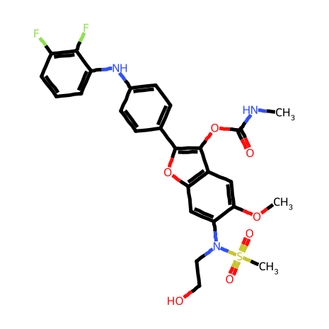 CNC(=O)Oc1c(-c2ccc(Nc3cccc(F)c3F)cc2)oc2cc(N(CCO)S(C)(=O)=O)c(OC)cc12